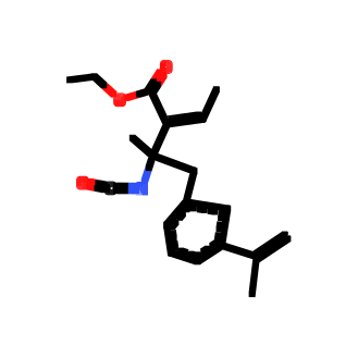 C=C(C)c1cccc(CC(C)(N=C=O)C(=CC)C(=O)OCC)c1